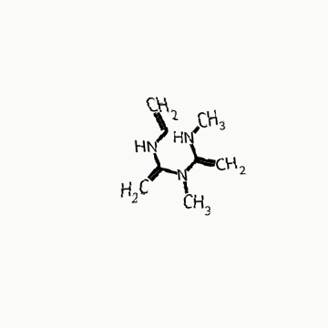 C=CNC(=C)N(C)C(=C)NC